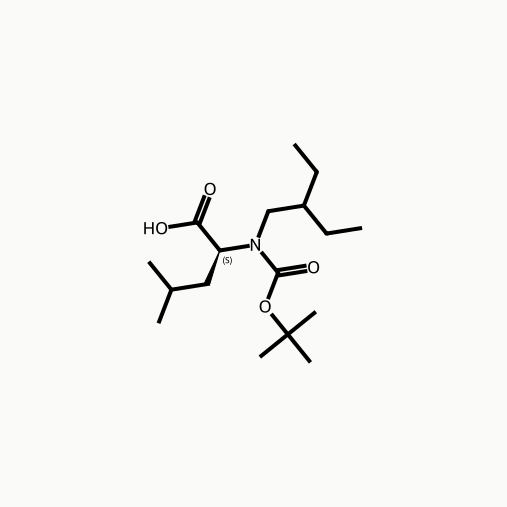 CCC(CC)CN(C(=O)OC(C)(C)C)[C@@H](CC(C)C)C(=O)O